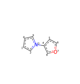 c1ccn(-c2ccoc2)c1